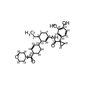 CCC1CCC(NC(=O)C2(c3ccc(O)c(O)c3)CC2)=CC1C1C=CC(C(=O)N2CCOCC2)CC1